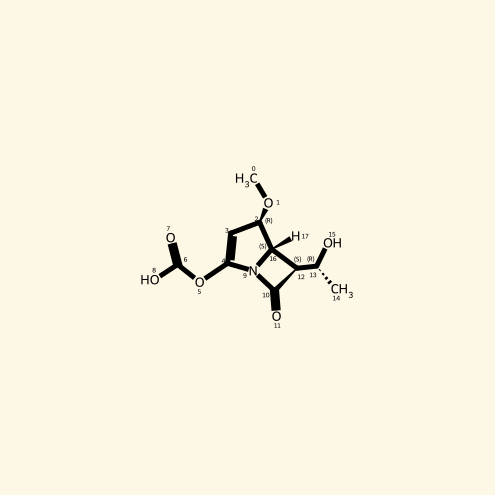 CO[C@@H]1C=C(OC(=O)O)N2C(=O)[C@H]([C@@H](C)O)[C@@H]12